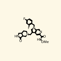 CONC(=O)c1cc2c(CN3CCC4CNC(=O)C4C3)cn(Cc3ccc(F)cc3F)c2cn1